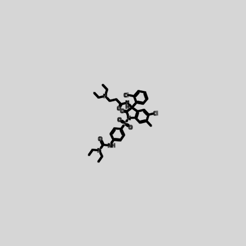 CCN(CC)CCC(=O)NC1(c2ccccc2Cl)C(=O)N(S(=O)(=O)c2ccc(NC(=O)N(CC)CC)cc2)c2cc(C)c(Cl)cc21